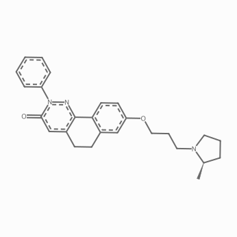 C[C@@H]1CCCN1CCCOc1ccc2c(c1)CCc1cc(=O)n(-c3ccccc3)nc1-2